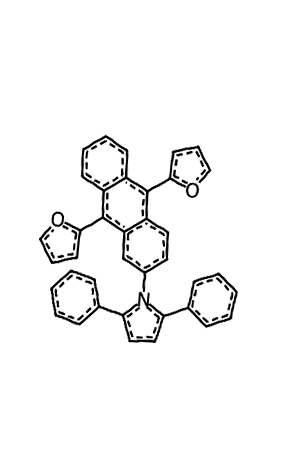 c1ccc(-c2ccc(-c3ccccc3)n2-c2ccc3c(-c4ccco4)c4ccccc4c(-c4ccco4)c3c2)cc1